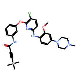 COc1cc(N2CCN(C)CC2)ccc1Nc1ccc(Cl)c(Oc2cccc(NC(=O)C#C[Si](C)(C)C)c2)n1